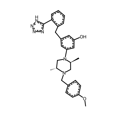 COc1ccc(CN2C[C@H](C)N(c3cc(O)cc(Cc4ccccc4-c4nnn[nH]4)c3)C[C@H]2C)cc1